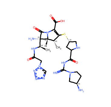 C[C@H]1C(S[C@@H]2CNC(C(=O)NC(=N)N3CC[C@@H](N)C3)C2)=C(C(=O)O)N2C(=O)[C@](N)([C@@H](C)NC(=O)Cn3cnnn3)[C@@H]12